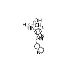 CC(C)(CO)Nc1cnc2nnn(Cc3ccc4ncccc4c3)c2n1